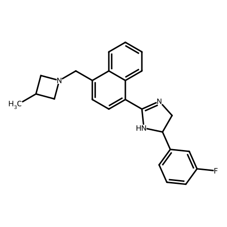 CC1CN(Cc2ccc(C3=NCC(c4cccc(F)c4)N3)c3ccccc23)C1